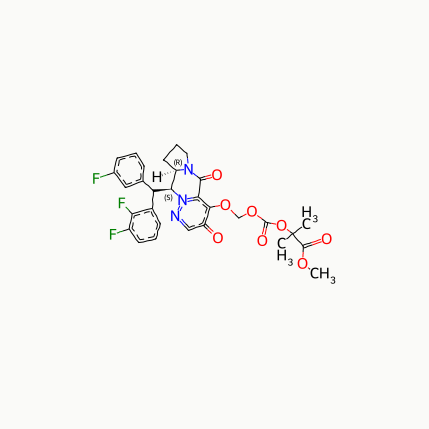 COC(=O)C(C)(C)OC(=O)OCOc1c2n(ncc1=O)[C@@H](C(c1cccc(F)c1)c1cccc(F)c1F)[C@H]1CCCN1C2=O